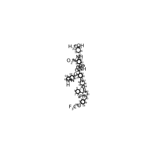 CC(C)c1ccccc1C1CN(Cc2ccc(OCC(F)(F)F)cc2)CCN1C1CC2(CCN(c3ccc(C(=O)NS(=O)(=O)c4ccc(NC[C@H]5CC[C@](C)(O)CC5)c([N+](=O)[O-])c4)c(Oc4cnc5[nH]ccc5c4)c3)CC2)C1